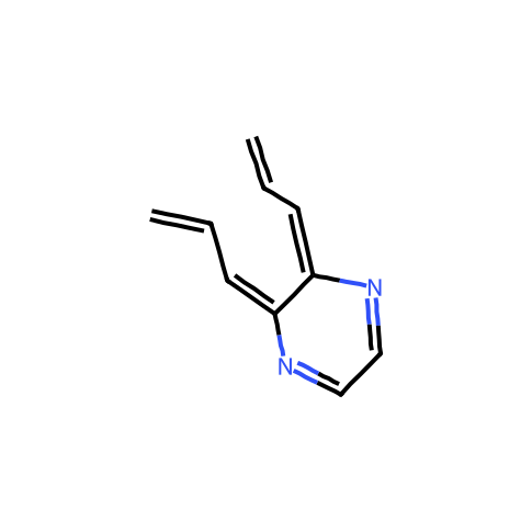 C=C/C=c1/nccn/c1=C/C=C